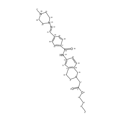 CCCCOC(=O)CC1CCc2cc(NC(=O)c3ccc(C=NN4CCN(C)CC4)cc3)ccc2C1